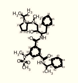 CC(NC(=O)c1cc(C(=O)NC(Cc2ccccc2)C(O)CN(C)C2CCCN2C(C)C)cc(N(C)S(C)(=O)=O)c1)c1ccccc1